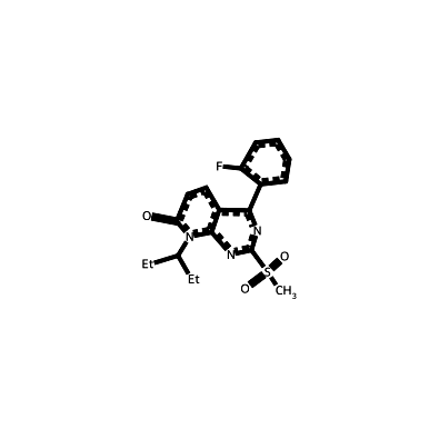 CCC(CC)n1c(=O)ccc2c(-c3ccccc3F)nc(S(C)(=O)=O)nc21